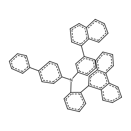 c1ccc(-c2ccc(N(c3cccc(-c4cccc5ccccc45)c3)c3ccccc3-c3cc4ccccc4c4ccccc34)cc2)cc1